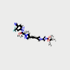 CC(C)(C)OC(=O)N1CC(N2CC(C#Cc3cnn(C(C)(C)C(=O)Nc4ccc(C#N)c(C(F)(F)F)c4)c3)C2)C1